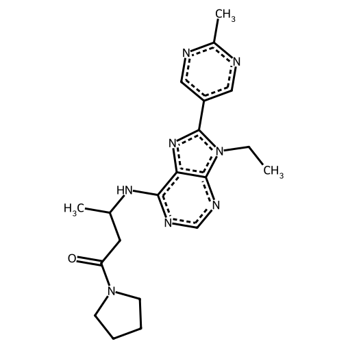 CCn1c(-c2cnc(C)nc2)nc2c(NC(C)CC(=O)N3CCCC3)ncnc21